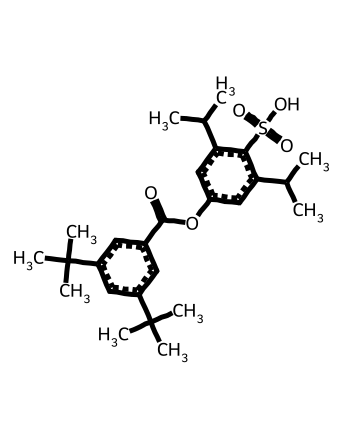 CC(C)c1cc(OC(=O)c2cc(C(C)(C)C)cc(C(C)(C)C)c2)cc(C(C)C)c1S(=O)(=O)O